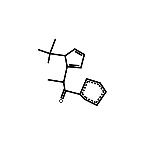 CC(C(=O)c1ccccc1)C1=CC=CC1C(C)(C)C